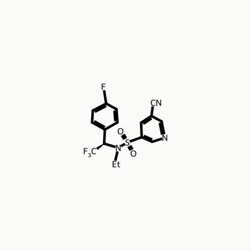 CCN([C@H](c1ccc(F)cc1)C(F)(F)F)S(=O)(=O)c1cncc(C#N)c1